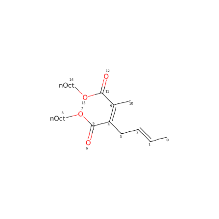 CC=CCC(C(=O)OCCCCCCCC)=C(C)C(=O)OCCCCCCCC